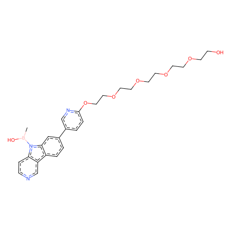 CB(O)n1c2ccncc2c2ccc(-c3ccc(OCCOCCOCCOCCOCCO)nc3)cc21